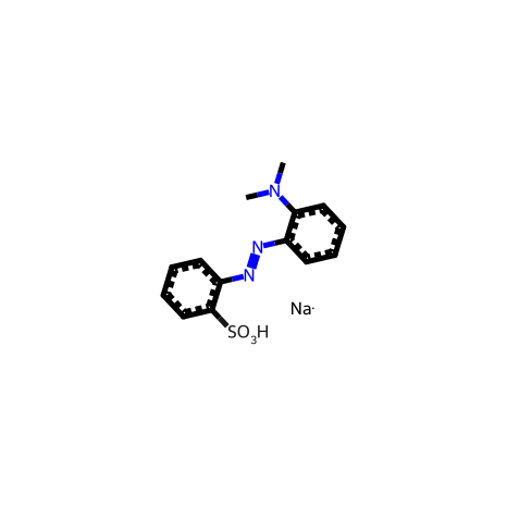 CN(C)c1ccccc1N=Nc1ccccc1S(=O)(=O)O.[Na]